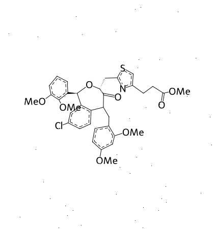 COC(=O)CCc1csc(C[C@H]2O[C@H](c3cccc(OC)c3OC)c3cc(Cl)ccc3C(Cc3ccc(OC)cc3OC)C2=O)n1